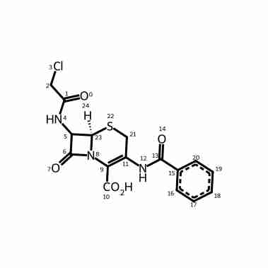 O=C(CCl)NC1C(=O)N2C(C(=O)O)=C(NC(=O)c3ccccc3)CS[C@H]12